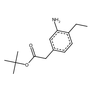 CCc1ccc(CC(=O)OC(C)(C)C)cc1N